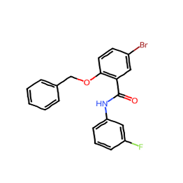 O=C(Nc1cccc(F)c1)c1cc(Br)ccc1OCc1ccccc1